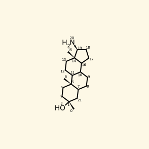 C[C@@]1(O)CC[C@@]2(C)C(CCC3C2CC[C@@]2(C)C3CC[C@@H]2N)C1